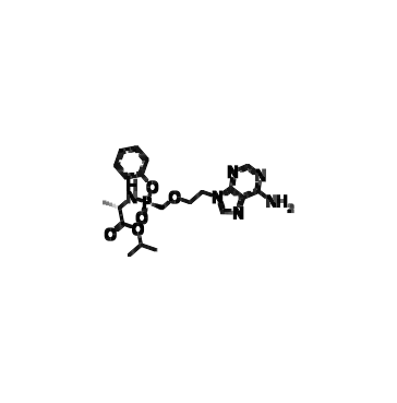 CC(C)OC(=O)[C@H](C)N[P@](=O)(COCCn1cnc2c(N)ncnc21)Oc1ccccc1